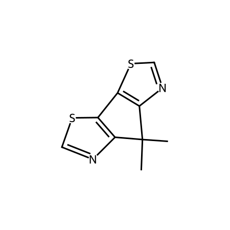 CC1(C)c2ncsc2-c2scnc21